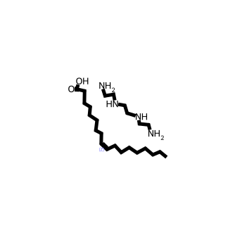 CCCCCCCC/C=C\CCCCCCCC(=O)O.NCCNCCNCCN